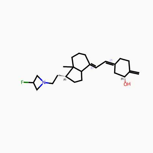 C=C1CC/C(=C/C=C2\CCCC3(C)C2CC[C@@H]3CCN2CC(F)C2)C[C@H]1O